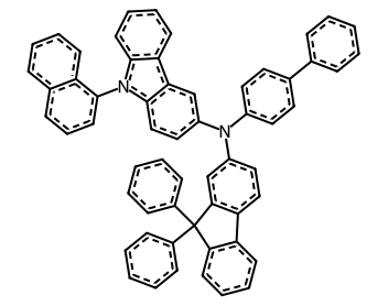 c1ccc(-c2ccc(N(c3ccc4c(c3)C(c3ccccc3)(c3ccccc3)c3ccccc3-4)c3ccc4c(c3)c3ccccc3n4-c3cccc4ccccc34)cc2)cc1